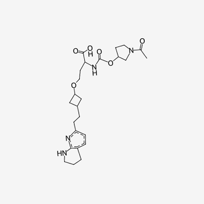 CC(=O)N1CCC(OC(=O)NC(CCOC2CC(CCc3ccc4c(n3)NCCC4)C2)C(=O)O)C1